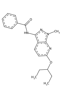 CCC(CC)Oc1ccc2c(NC(=O)c3ccccc3)nn(C)c2n1